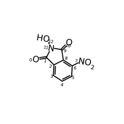 O=C1c2cccc([N+](=O)[O-])c2C(=O)N1O